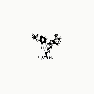 CC(C)=C/N=C(\C)Cn1c(Oc2cccc(OC(F)(F)F)c2)nc2c1COCN2C